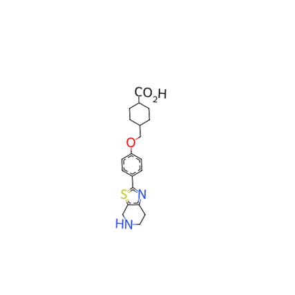 O=C(O)C1CCC(COc2ccc(-c3nc4c(s3)CNCC4)cc2)CC1